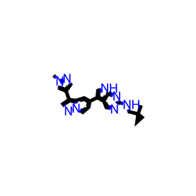 Cn1cc(-c2cnn3ccc(-c4c[nH]c5nc(NCC6(C)CC6)ncc45)cc23)cn1